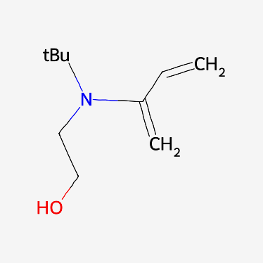 C=CC(=C)N(CCO)C(C)(C)C